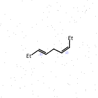 CC/C=C\C/C=C/CC